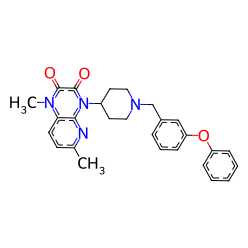 Cc1ccc2c(n1)n(C1CCN(Cc3cccc(Oc4ccccc4)c3)CC1)c(=O)c(=O)n2C